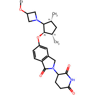 CCOC1CN(C2[C@H](C)C[C@H](C)[C@H]2Oc2ccc3c(c2)CN(C2CCC(=O)NC2=O)C3=O)C1